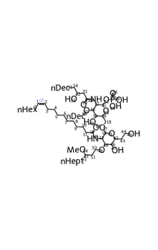 CCCCCC/C=C\CCCCCCCCCC(=O)NC1C(OCC2OC(OP(=O)(O)O)C(NC(=O)CC(O)CCCCCCCCCCC)C(OCCCCCCCCCC)C2O)OC(CCO)C(O)C1OCCC(CCCCCCC)OC